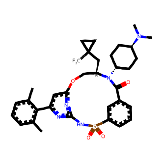 Cc1cccc(C)c1-c1cc2nc(n1)NS(=O)(=O)c1cccc(c1)C(=O)N([C@H]1CC[C@H](N(C)C)CC1)[C@H](CC1(C(F)(F)F)CC1)CO2